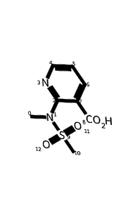 CN(c1ncccc1C(=O)O)S(C)(=O)=O